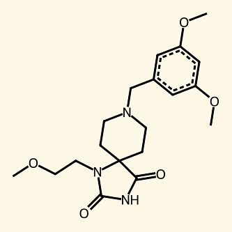 COCCN1C(=O)NC(=O)C12CCN(Cc1cc(OC)cc(OC)c1)CC2